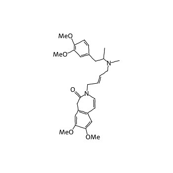 COc1ccc(CC(C)N(C)C/C=C/CN2C=Cc3cc(OC)c(OC)cc3CC2=O)cc1OC